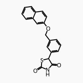 O=C1NC(=O)C(c2cccc(COc3ccc4ccccc4c3)c2)S1